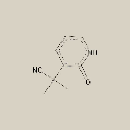 CC(C)(C#N)c1ccc[nH]c1=O